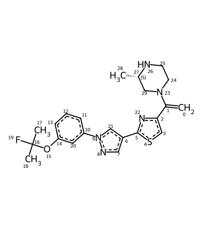 C=C(c1csc(-c2cnn(-c3cccc(OC(C)(C)F)c3)c2)n1)N1CCN[C@@H](C)C1